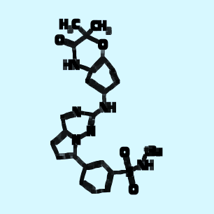 CC(C)(C)NS(=O)(=O)c1cccc(-c2ccc3cnc(Nc4ccc5c(c4)NC(=O)C(C)(C)O5)nn23)c1